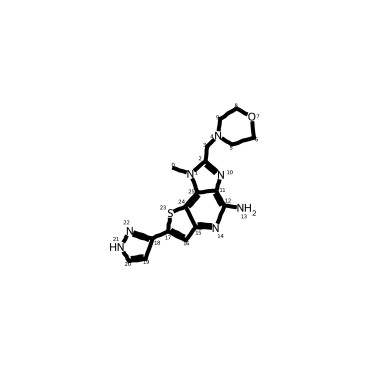 Cn1c(CN2CCOCC2)nc2c(N)nc3cc(-c4cc[nH]n4)sc3c21